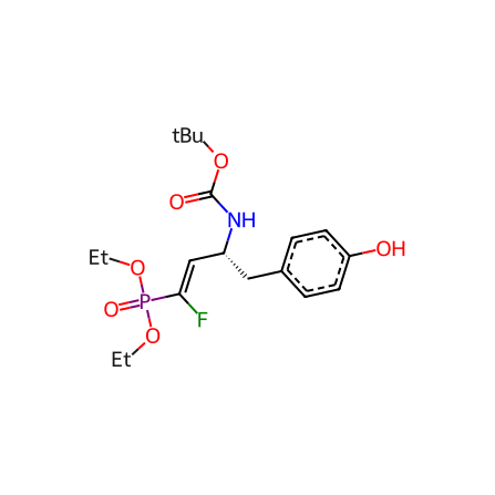 CCOP(=O)(OCC)/C(F)=C/[C@@H](Cc1ccc(O)cc1)NC(=O)OC(C)(C)C